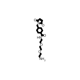 NCCOCCOCCNC(=O)C1CCC(CN2C(=O)C=CC2=O)CC1